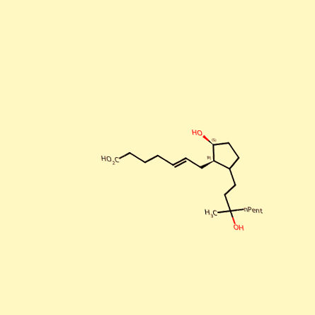 CCCCCC(C)(O)CCC1CC[C@H](O)[C@@H]1CC=CCCCC(=O)O